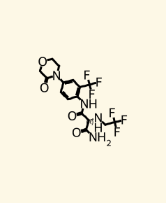 NC(=O)[C@@H](NCC(F)(F)F)C(=O)Nc1ccc(N2CCOCC2=O)cc1C(F)(F)F